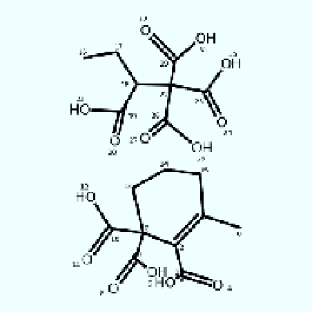 CC1=C(C(=O)O)C(C(=O)O)(C(=O)O)CCC1.CCC(C(=O)O)C(C(=O)O)(C(=O)O)C(=O)O